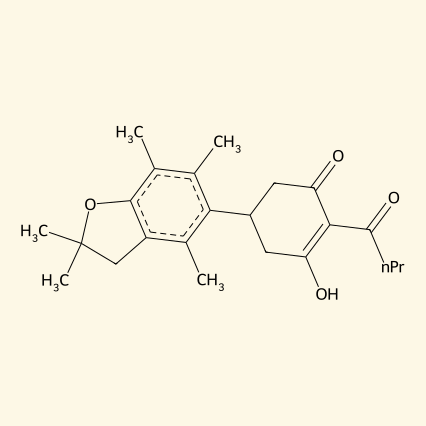 CCCC(=O)C1=C(O)CC(c2c(C)c(C)c3c(c2C)CC(C)(C)O3)CC1=O